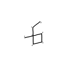 CCC1(C)C[CH]C1